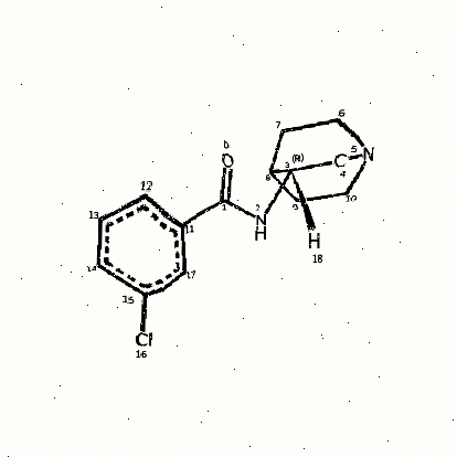 O=C(N[C@H]1CN2CCC1CC2)c1cccc(Cl)c1